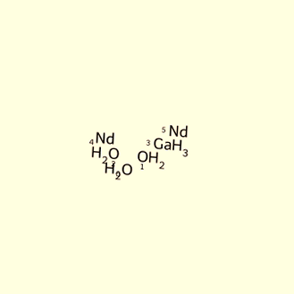 O.O.O.[GaH3].[Nd].[Nd]